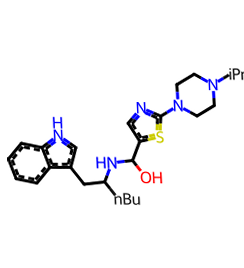 CCCCC(Cc1c[nH]c2ccccc12)NC(O)c1cnc(N2CCN(C(C)C)CC2)s1